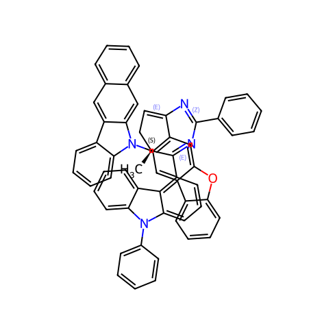 C[C@H]1C/C=C(c2cc3oc4ccccc4c3cc2-n2c3ccccc3c3cc4ccccc4cc32)/N=C(c2ccccc2)\N=C/1c1cccc2c1c1ccccc1n2-c1ccccc1